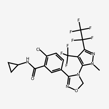 Cn1nc(C(F)(F)C(F)(F)F)c(C(F)(F)F)c1N1CON=C1c1ccc(Cl)c(C(=O)NC2CC2)c1